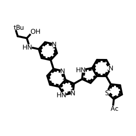 CC(=O)c1ccc(-c2nccc3[nH]c(-c4n[nH]c5ccc(-c6cncc(NC(O)CC(C)(C)C)c6)nc45)cc23)s1